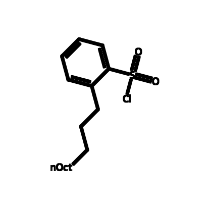 CCCCCCCCCCCc1ccccc1S(=O)(=O)Cl